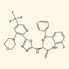 O=C1Nc2c(F)cccc2C(c2ccccc2)=N[C@@H]1Nc1nnc(-c2ncc(C(F)(F)F)cc2N2CCOCC2)o1